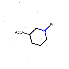 CCN1CCCC(OC(C)=O)C1